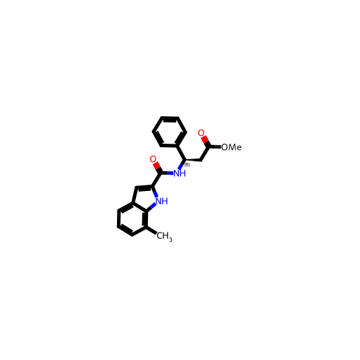 COC(=O)C[C@@H](NC(=O)c1cc2cccc(C)c2[nH]1)c1ccccc1